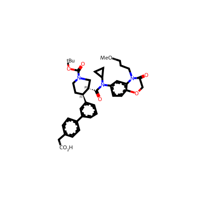 COCCCN1C(=O)COc2ccc(N(C(=O)[C@H]3CN(C(=O)OC(C)(C)C)CC[C@@H]3c3cccc(-c4ccc(CC(=O)O)cc4)c3)C3CC3)cc21